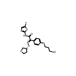 O=C(Nc1ncc(F)s1)/C(=N/O[C@@H]1CCOC1)c1ccc(SCCCO)cc1